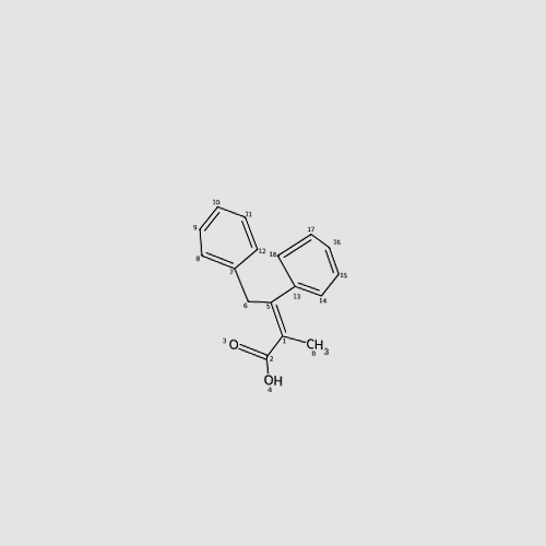 CC(C(=O)O)=C(Cc1ccccc1)c1ccccc1